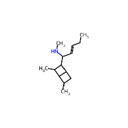 CCC=CC(NC)C1C(C)C2C(C)CC21